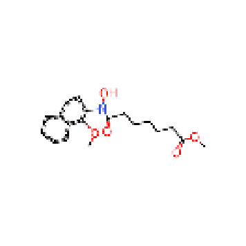 COC(=O)CCCCCC(=O)N(O)c1ccc2ccccc2c1OC